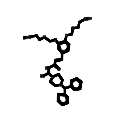 CCC(NC(=O)C=Cc1ccc(OCOCCOC)c(OCOCCOC)c1)N1CCN(C(c2ccccc2)c2ccccc2)CC1